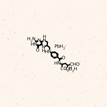 Nc1nc2c(c(=O)[nH]1)NC(CNc1ccc(C(=O)NC(CC(C=O)C(=O)O)C(=O)O)cc1)CN2.[PbH2]